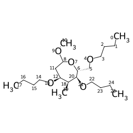 CCCCOC[C@H]1OC(OC)C[C@H](OCCCC)[C@H](C)[C@@H]1OCCCC